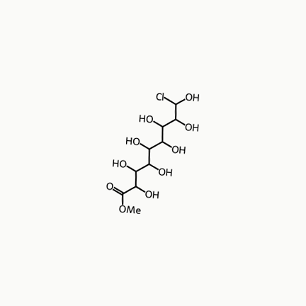 COC(=O)C(O)C(O)C(O)C(O)C(O)C(O)C(O)C(O)Cl